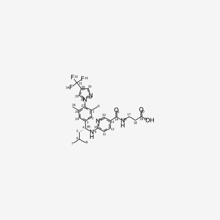 Cc1cc([C@@H](CC(C)C)Nc2ccc(C(=O)NCCC(=O)O)cn2)cc(C)c1-n1cc(C(F)(F)F)cn1